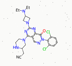 CCN(CC)C1CN(c2nc(N3CCNC(CC#N)C3)c3cnn(-c4c(Cl)cccc4Cl)c(=O)c3n2)C1